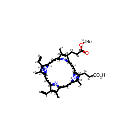 C=CC1=C(C)c2cc3[nH]c(cc4nc(cc5[nH]c(cc1n2)c(C)c5C=C)C(C)=C4CCC(=O)OC(C)(C)C)c(CCC(=O)O)c3C